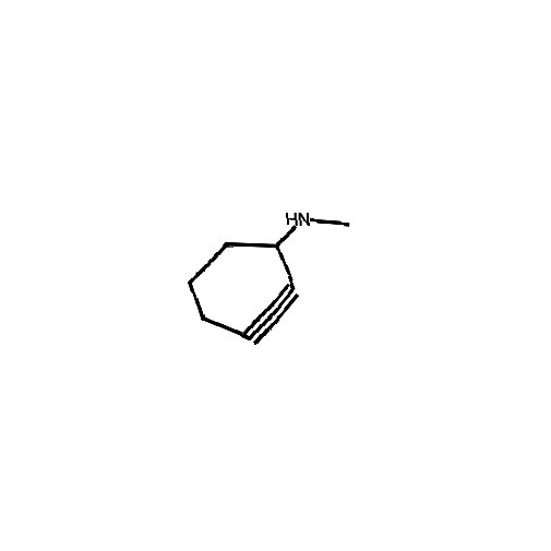 CNC1C#CCCC1